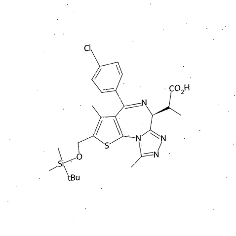 Cc1c(CO[Si](C)(C)C(C)(C)C)sc2c1C(c1ccc(Cl)cc1)=N[C@@H](C(C)C(=O)O)c1nnc(C)n1-2